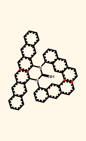 N=C(N(c1cccc2cc3ccccc3cc12)c1cccc2cc3ccccc3cc12)N(c1cccc2cc3ccccc3cc12)c1cccc2cc3ccccc3cc12